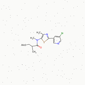 CSCC(C)C(=O)N(C)c1sc(-c2cncc(Br)c2)nc1C